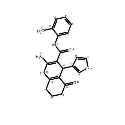 CC1=C(C(=O)Nc2ccccc2C)C(c2ccoc2)C2=C(CCCC2=O)N1